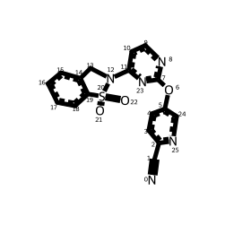 N#Cc1ccc(Oc2nccc(N3Cc4ccccc4S3(=O)=O)n2)cn1